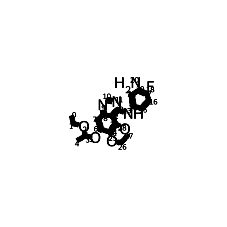 CCOC(C)Oc1cc2ncnc(Nc3ccc(F)c(N)c3)c2c2c1OCCO2